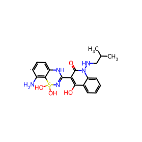 CC(C)CNn1c(=O)c(C2=NS(O)(O)c3c(N)[c]ccc3N2)c(O)c2ccccc21